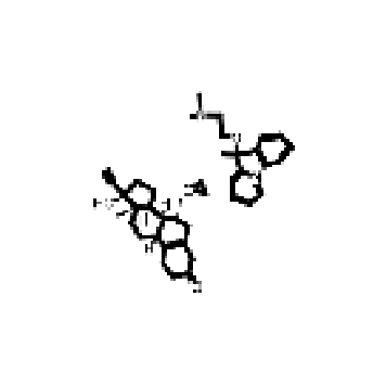 C#C[C@]1(O)CC[C@H]2[C@@H]3[C@H](C)CC4=C(CCC(=O)C4)[C@H]3CC[C@@]21C.C1CO1.CN(C)CCOC(C)(c1ccccc1)c1ccccn1